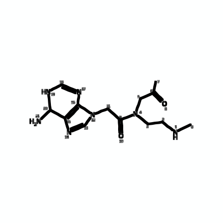 CNCCN(CC(C)=O)C(=O)Cn1cnc2c1N=CNC2N